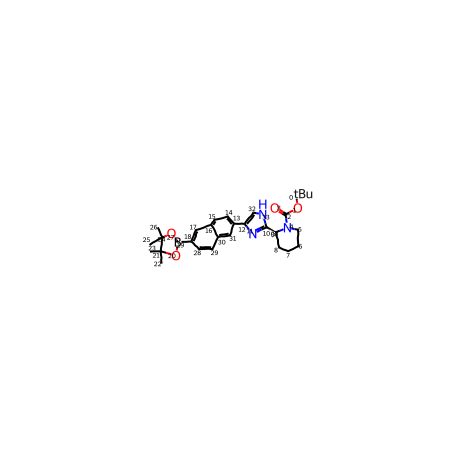 CC(C)(C)OC(=O)N1CCCC[C@H]1c1nc(-c2ccc3cc(B4OC(C)(C)C(C)(C)O4)ccc3c2)c[nH]1